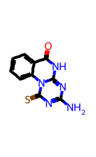 Nc1nc(=S)n2c(n1)[nH]c(=O)c1ccccc12